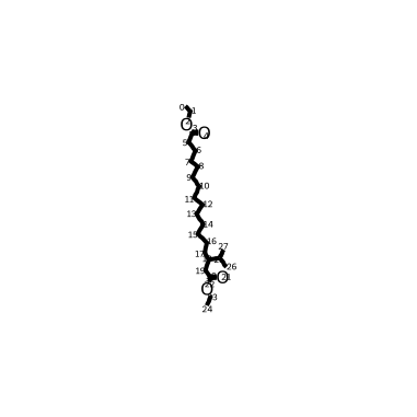 CCOC(=O)CCCCCCCCCCCCCC(CC(=O)OCC)C(C)C